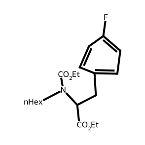 CCCCCCN(C(=O)OCC)C(Cc1ccc(F)cc1)C(=O)OCC